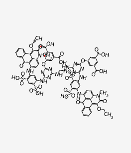 C#COc1c2c3c(c(Nc4cc(Nc5nc(NCCNc6nc(Nc7cc(Nc8ccc9c%10c8C(=O)c8ccccc8-c%10c(OCC)c(=O)n9C)c(S(=O)(=O)O)cc7S(=O)(=O)O)nc(Oc7cc(C(=O)O)cc(C(=O)O)c7)n6)nc(Oc6cc(C(=O)O)cc(C(=O)O)c6)n5)c(S(=O)(=O)O)cc4S(=O)(=O)O)ccc3n(C)c1=O)C(=O)c1ccccc1-2